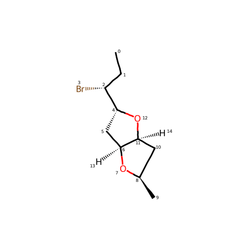 CC[C@@H](Br)[C@H]1C[C@@H]2O[C@H](C)C[C@@H]2O1